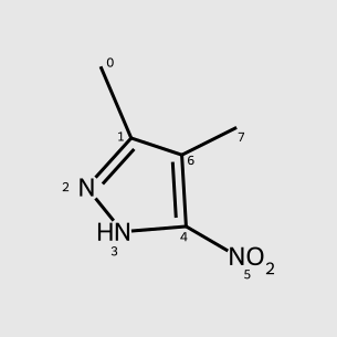 Cc1n[nH]c([N+](=O)[O-])c1C